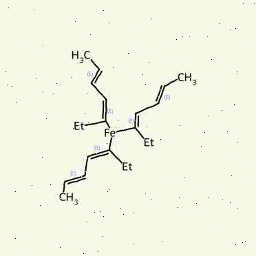 C/C=C/C=[C](\CC)[Fe](/[C](=C/C=C/C)CC)/[C](=C/C=C/C)CC